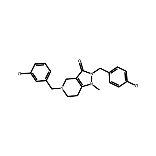 Cn1c2c(c(=O)n1Cc1ccc(Cl)cc1)CN(Cc1cccc(Cl)c1)CC2